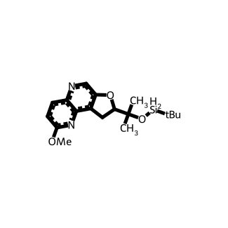 COc1ccc2ncc3c(c2n1)CC(C(C)(C)O[SiH2]C(C)(C)C)O3